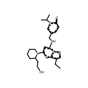 CCc1cnn2c(NCc3ccc(=O)n(C(C)C)c3)cc(N3CCCCC3CCO)nc12